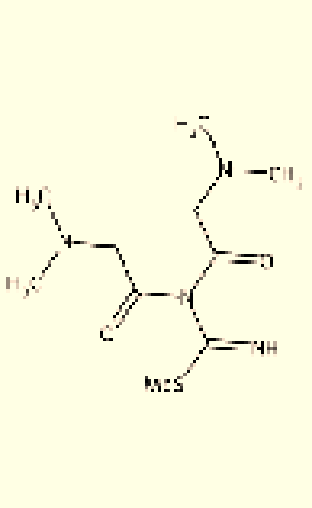 CSC(=N)N(C(=O)CN(C)C)C(=O)CN(C)C